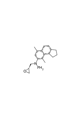 Cc1cc(N(P)C[C@H]2CO2)c(C)c2c3c(ccc12)CCC3